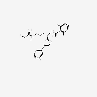 N=C(CF)NCCC[C@H](NC(=O)c1c(F)cccc1Cl)c1ncc(-c2cccc(Cl)c2)o1